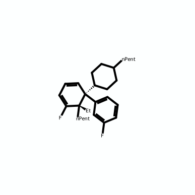 CCCCCC1CCC([C@@]2(c3cccc(F)c3)C=CC=C(F)[C@@]2(CC)CCCCC)CC1